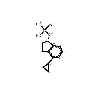 CC(C)(C)[Si](C)(C)O[C@H]1CCc2c(C3CC3)cccc21